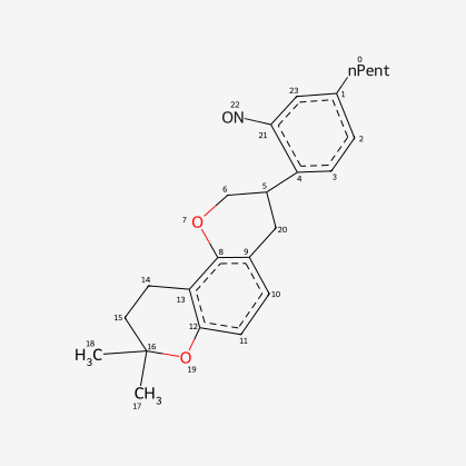 CCCCCc1ccc(C2COc3c(ccc4c3CCC(C)(C)O4)C2)c(N=O)c1